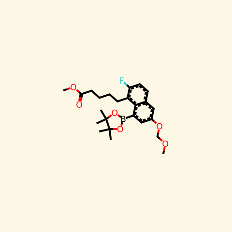 COCOc1cc(B2OC(C)(C)C(C)(C)O2)c2c(CCCCC(=O)OC)c(F)ccc2c1